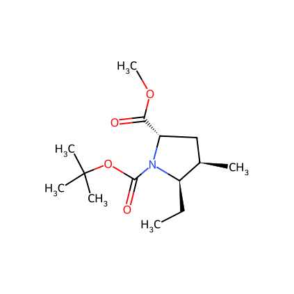 CC[C@@H]1[C@H](C)C[C@@H](C(=O)OC)N1C(=O)OC(C)(C)C